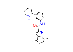 Cc1ccc(F)c2cc(C(=O)Nc3cccc(C4CCCCN4)c3)[nH]c12